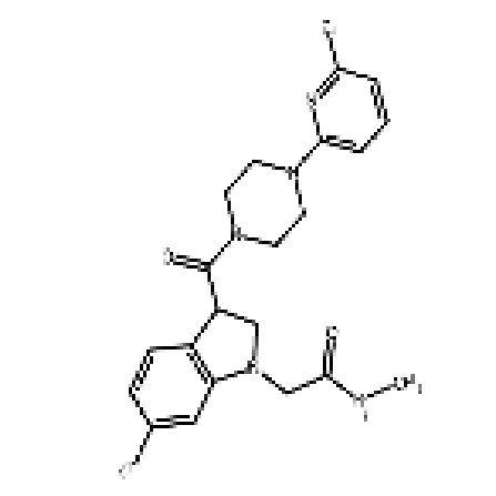 CNC(=O)CN1CC(C(=O)N2CCN(c3cccc(Cl)n3)CC2)c2ccc(Cl)cc21